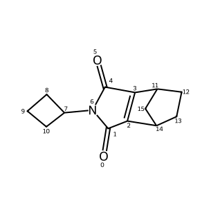 O=C1C2=C(C(=O)N1C1CCC1)C1CCC2C1